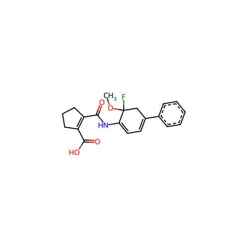 COC1(F)CC(c2ccccc2)=CC=C1NC(=O)C1=C(C(=O)O)CCC1